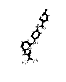 BC(B)c1cn2c(NC3CCC(NC(=O)c4ccc(C)nc4)CC3)cccc2n1